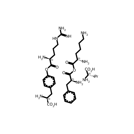 CC(C)[C@H](N)C(=O)O.N=C(N)NCCC[C@H](N)C(=O)Oc1ccc(C[C@H](N)C(=O)O)cc1.NCCCC[C@H](N)C(=O)OC(=O)[C@@H](N)Cc1ccccc1